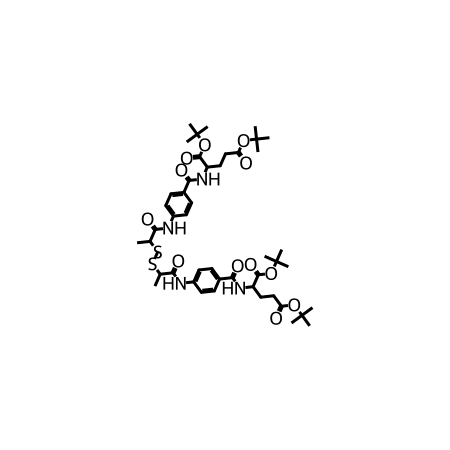 CC(SSC(C)C(=O)Nc1ccc(C(=O)NC(CCC(=O)OC(C)(C)C)C(=O)OC(C)(C)C)cc1)C(=O)Nc1ccc(C(=O)NC(CCC(=O)OC(C)(C)C)C(=O)OC(C)(C)C)cc1